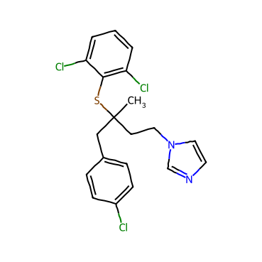 CC(CCn1ccnc1)(Cc1ccc(Cl)cc1)Sc1c(Cl)cccc1Cl